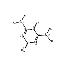 CCC1N=C(N(C)C)N(C)C(N(C)C)=N1